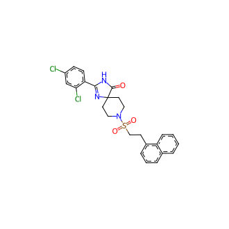 O=C1NC(c2ccc(Cl)cc2Cl)=NC12CCN(S(=O)(=O)CCc1cccc3ccccc13)CC2